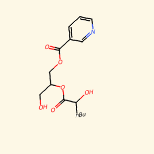 CCCCC(O)C(=O)OC(CO)COC(=O)c1cccnc1